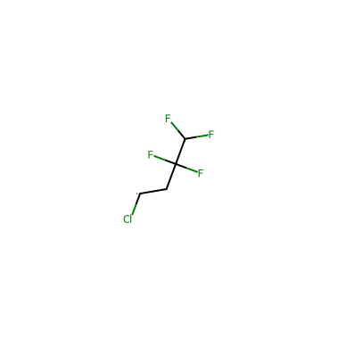 F[C](F)C(F)(F)C[CH]Cl